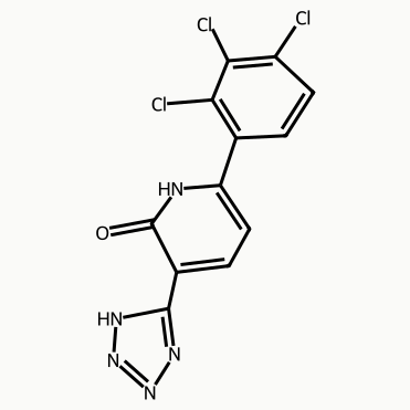 O=c1[nH]c(-c2ccc(Cl)c(Cl)c2Cl)ccc1-c1nnn[nH]1